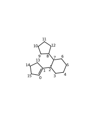 C1=C([C]2CCCCC2C2CCCC2)CCC1